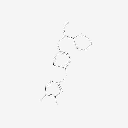 CCC(Oc1ccc(Sc2ccc(N)c(N)c2)cc1)C1CCCCN1